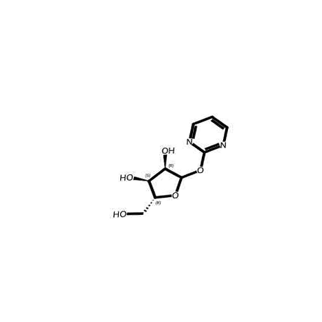 OC[C@H]1OC(Oc2ncccn2)[C@H](O)[C@@H]1O